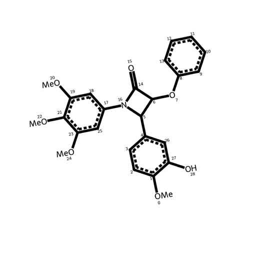 COc1ccc(C2C(Oc3ccccc3)C(=O)N2c2cc(OC)c(OC)c(OC)c2)cc1O